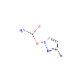 CCc1ccn(OC(N)=O)n1